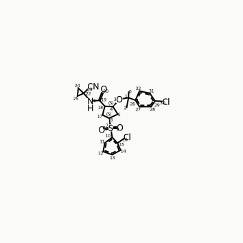 CC(C)(O[C@H]1C[C@@H](S(=O)(=O)c2ccccc2Cl)CC1C(=O)NC1(C#N)CC1)c1ccc(Cl)cc1